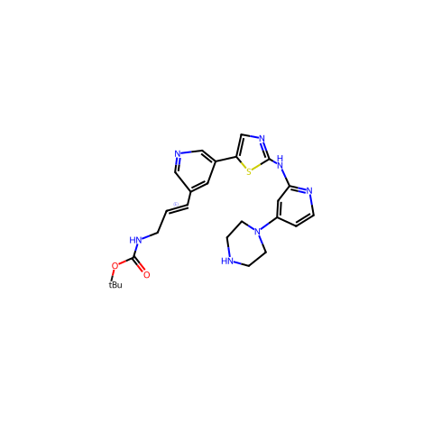 CC(C)(C)OC(=O)NC/C=C/c1cncc(-c2cnc(Nc3cc(N4CCNCC4)ccn3)s2)c1